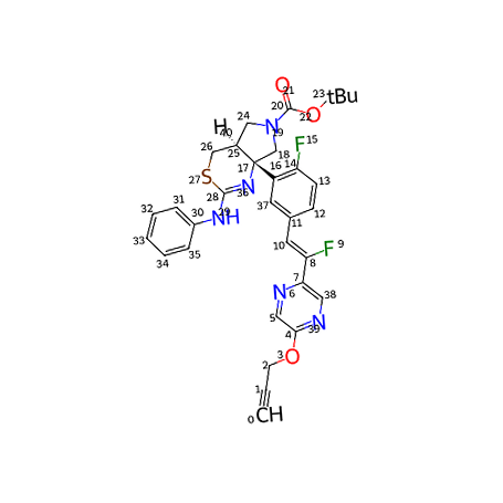 C#CCOc1cnc(/C(F)=C/c2ccc(F)c([C@]34CN(C(=O)OC(C)(C)C)C[C@@H]3CSC(Nc3ccccc3)=N4)c2)cn1